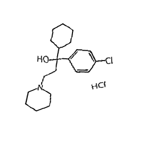 Cl.OC(CCN1CCCCC1)(c1ccc(Cl)cc1)C1CCCCC1